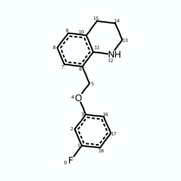 Fc1[c]c(OCc2cccc3c2NCCC3)ccc1